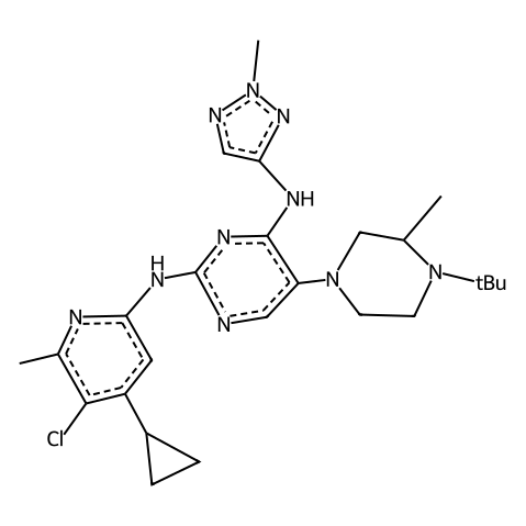 Cc1nc(Nc2ncc(N3CCN(C(C)(C)C)C(C)C3)c(Nc3cnn(C)n3)n2)cc(C2CC2)c1Cl